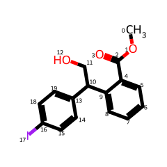 COC(=O)c1ccccc1C(CO)c1ccc(I)cc1